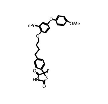 CCCc1cc(Oc2ccc(OC)cc2)ccc1OCCCCc1ccc(C2(F)SC(=O)NC2=O)cc1